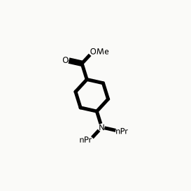 CCCN(CCC)C1CCC(C(=O)OC)CC1